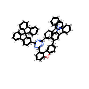 C1=C(c2ccccc2)CCC(c2nc(-c3ccc4c(c3)C3(c5ccccc5-c5ccccc53)c3ccccc3-4)nc(-c3cccc4oc5ccc(-c6ccc7c(c6)c6ccccc6n7-c6ccccc6)cc5c34)n2)=C1